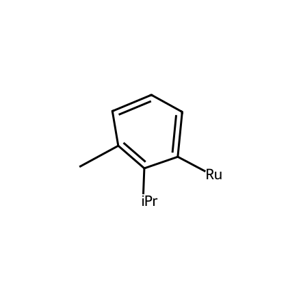 Cc1ccc[c]([Ru])c1C(C)C